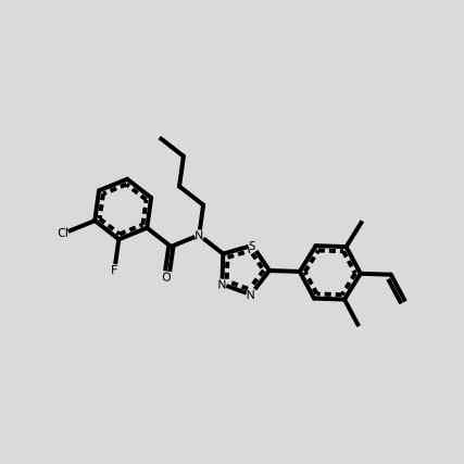 C=Cc1c(C)cc(-c2nnc(N(CCCC)C(=O)c3cccc(Cl)c3F)s2)cc1C